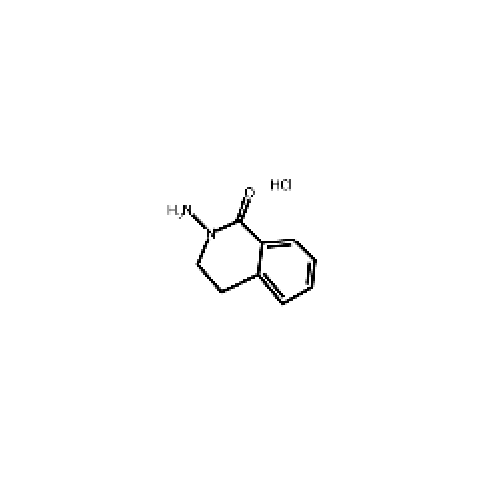 Cl.NN1CCc2ccccc2C1=O